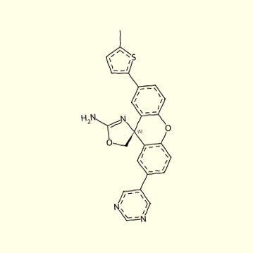 Cc1ccc(-c2ccc3c(c2)[C@]2(COC(N)=N2)c2cc(-c4cncnc4)ccc2O3)s1